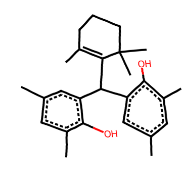 CC1=C(C(c2cc(C)cc(C)c2O)c2cc(C)cc(C)c2O)C(C)(C)CCC1